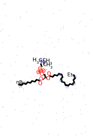 CC/C=C\C/C=C\C/C=C\C/C=C\C/C=C\CCCC(=O)O[C@H](COC(=O)CCCCCCC/C=C\CCCC)COP(=O)([O-])OCC[N+](C)(C)C